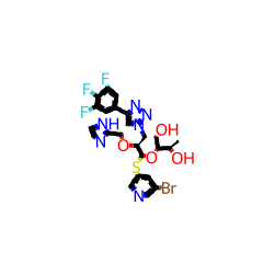 C[C@@H](O)C(CO)OC(Sc1cncc(Br)c1)[C@H](Cn1cc(-c2cc(F)c(F)c(F)c2)nn1)OCc1ncc[nH]1